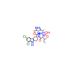 CCC(C)C(NC(=O)O)C(=O)N[C@]1(C(=O)N[C@H](C(N)=S)[C@@H](C)CC)CCc2[nH]c3c(Cl)cc(Cl)cc3c2C1